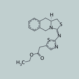 CCOC(=O)Cc1cnc(/N=C2/SC[C@@H]3Cc4ccccc4CN23)s1